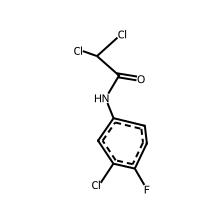 O=C(Nc1ccc(F)c(Cl)c1)C(Cl)Cl